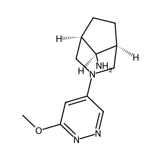 COc1cc(N2C[C@H]3CC[C@@H](C2)[C@H]3N)cnn1